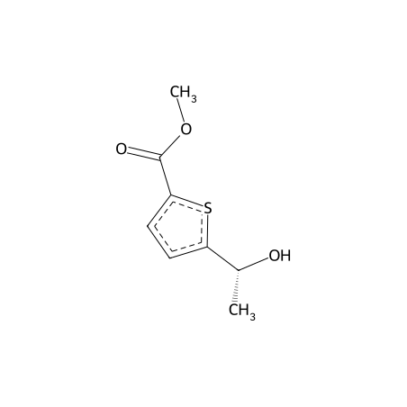 COC(=O)c1ccc([C@@H](C)O)s1